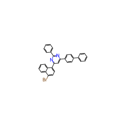 Brc1ccc(-c2cc(-c3ccc(-c4ccccc4)cc3)nc(-c3ccccc3)n2)c2ccccc12